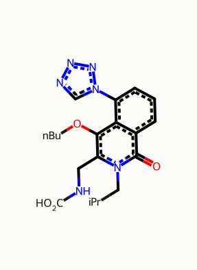 CCCCOc1c(CNC(=O)O)n(CC(C)C)c(=O)c2cccc(-n3cnnn3)c12